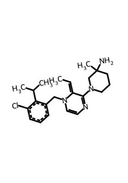 C/C=C1/C(N2CCCC(C)(N)C2)=NC=CN1Cc1cccc(Cl)c1C(C)C